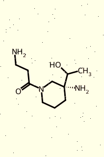 CC(O)[C@@]1(N)CCCN(C(=O)CCN)C1